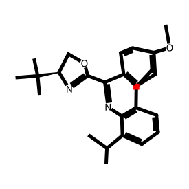 COc1ccc(/C(=N\c2c(C(C)C)cccc2C(C)C)C2=N[C@@H](C(C)(C)C)CO2)cc1